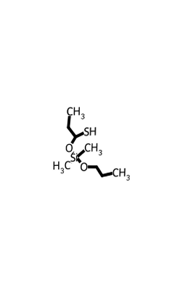 CCCO[Si](C)(C)OC(S)CC